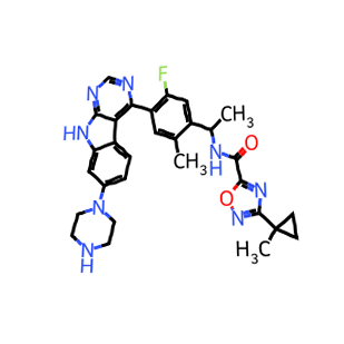 Cc1cc(-c2ncnc3[nH]c4cc(N5CCNCC5)ccc4c23)c(F)cc1C(C)NC(=O)c1nc(C2(C)CC2)no1